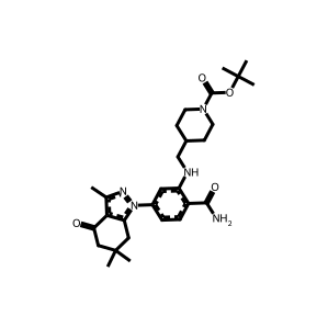 Cc1nn(-c2ccc(C(N)=O)c(NCC3CCN(C(=O)OC(C)(C)C)CC3)c2)c2c1C(=O)CC(C)(C)C2